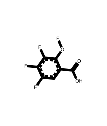 O=C(O)c1cc(F)c(F)c(F)c1OF